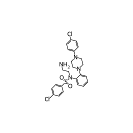 NCCN(c1ccccc1N1CCN(c2ccc(Cl)cc2)CC1)S(=O)(=O)c1ccc(Cl)cc1